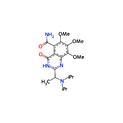 COc1c(OC)c(C(N)=O)c2c(=O)[nH]c(C(C)N(C(C)C)C(C)C)nc2c1OC